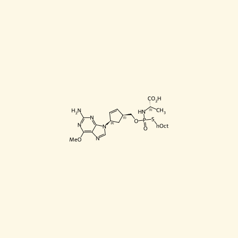 CCCCCCCCSP(=O)(N[C@@H](C)C(=O)O)OC[C@@H]1C=C[C@H](n2cnc3c(OC)nc(N)nc32)C1